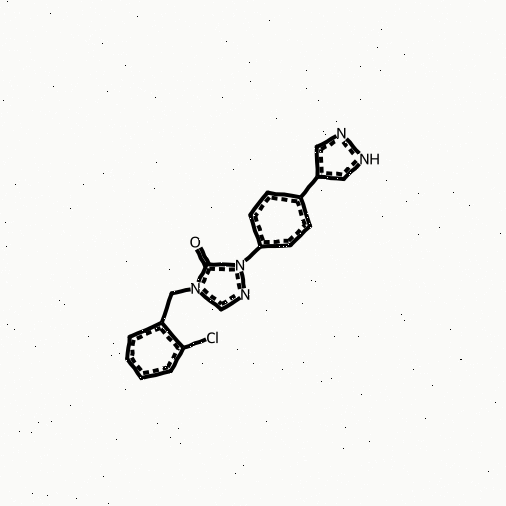 O=c1n(Cc2ccccc2Cl)cnn1-c1ccc(-c2cn[nH]c2)cc1